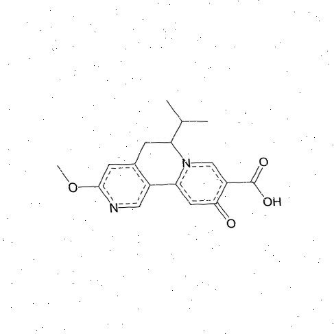 COc1cc2c(cn1)-c1cc(=O)c(C(=O)O)cn1C(C(C)C)C2